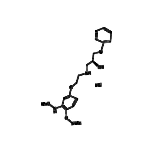 CONc1cc(OCCNC[C@H](O)COc2ccccc2)ccc1ONC(C)=O.Cl